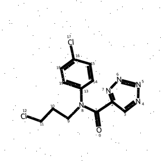 O=C(c1cnnnn1)N(CCCCl)c1ccc(Cl)cc1